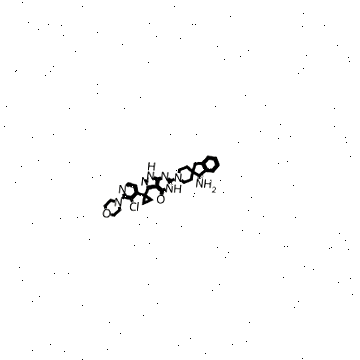 N[C@@H]1c2ccccc2CC12CCN(c1nc3[nH]nc(C4(c5ccnc(N6CCOCC6)c5Cl)CC4)c3c(=O)[nH]1)CC2